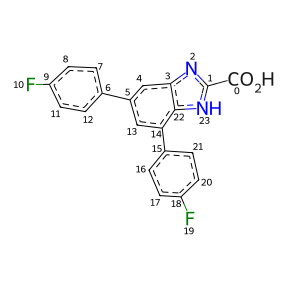 O=C(O)c1nc2cc(-c3ccc(F)cc3)cc(-c3ccc(F)cc3)c2[nH]1